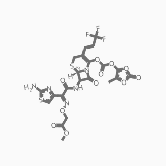 COC(=O)CON=C(C(=O)NC1C(=O)N2C(OC(=O)Oc3oc(=O)oc3C)=C(C=CC(F)(F)F)CS[C@@H]12)c1csc(N)n1